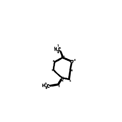 CCN1CCOC(C)CC1